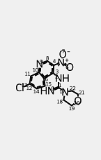 N=C(Nc1c([N+](=O)[O-])cnc2cc(Cl)ccc12)N1CCOCC1